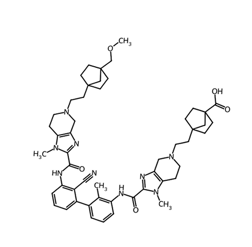 COCC12CCC(CCN3CCc4c(nc(C(=O)Nc5cccc(-c6cccc(NC(=O)c7nc8c(n7C)CCN(CCC79CCC(C(=O)O)(CC7)C9)C8)c6C)c5C#N)n4C)C3)(CC1)C2